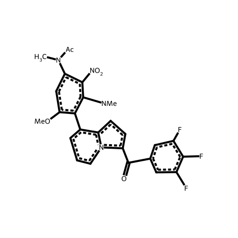 CNc1c(-c2cccn3c(C(=O)c4cc(F)c(F)c(F)c4)ccc23)c(OC)cc(N(C)C(C)=O)c1[N+](=O)[O-]